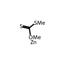 COC(=S)SC.[Zn]